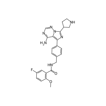 COc1ccc(F)cc1C(=O)NCc1ccc(-c2nc(C3CCNC3)n3ncnc(N)c23)cc1